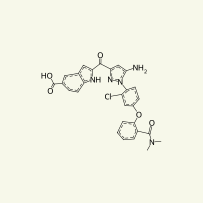 CN(C)C(=O)c1ccccc1Oc1ccc(-n2nc(C(=O)c3cc4cc(C(=O)O)ccc4[nH]3)cc2N)c(Cl)c1